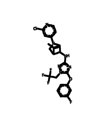 CC1=C2C(Nc3nc(Oc4cccc(F)c4)n(CC(F)(F)F)n3)C1CN2c1ccnc(Cl)c1